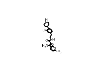 Cc1ccc2c(N)c(C(=O)NCCc3ccc(C4CCNCC4)c(Cl)c3)sc2n1